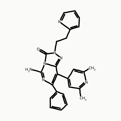 Cc1cc(-c2c(-c3ccccc3)nc(N)n3c(=O)n(CCc4ccccn4)nc23)cc(C)n1